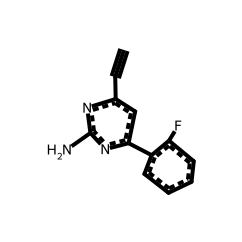 C#Cc1cc(-c2ccccc2F)nc(N)n1